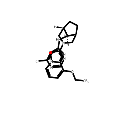 FC(F)(F)COc1cccn2nc(N[C@@H]3C4CC[C@H]3CN(c3cc(Cl)ncn3)C4)nc12